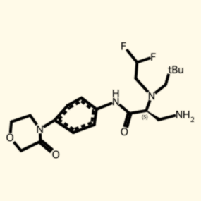 CC(C)(C)CN(CC(F)F)[C@@H](CN)C(=O)Nc1ccc(N2CCOCC2=O)cc1